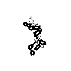 CC1(C)c2ccccc2-c2ccc3c(ccc4ccc5cc(-c6nc(-c7cccc(-c8ccccc8)c7)nc(-c7cccc8oc9ccccc9c78)n6)ccc5c43)c21